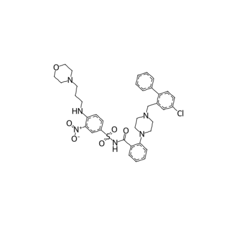 O=C(NS(=O)(=O)c1ccc(NCCCN2CCOCC2)c([N+](=O)[O-])c1)c1ccccc1N1CCN(Cc2cc(Cl)ccc2-c2ccccc2)CC1